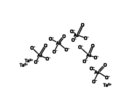 O=[As]([O-])([O-])[O-].O=[As]([O-])([O-])[O-].O=[As]([O-])([O-])[O-].O=[As]([O-])([O-])[O-].O=[As]([O-])([O-])[O-].[Ta+5].[Ta+5].[Ta+5]